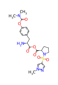 CN(C)C(=O)Oc1ccc(C[C@H](N)C(=O)OC(=O)[C@H]2CCCN2S(=O)(=O)c2cnn(C)c2)cc1